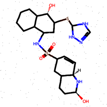 O=S(=O)(NC1CC(SC2NC=NN2)[C@@H](O)C2CCCCC12)C1C=C[C@H]2N[C@@H](O)CCC2C1